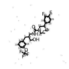 O=C(NCC(CO)Cc1cccc(OC(F)(F)F)c1)N1CCOC(c2ccc(F)c(F)c2)C1